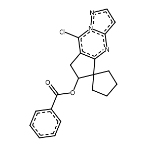 O=C(OC1Cc2c(nc3ccnn3c2Cl)C12CCCC2)c1ccccc1